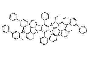 C=C/C(=c1\c(=C/C)n2c3c(-c4ccccc4)c4c5cccc6c7c(N(c8cc(-c9ccccc9)ccc8C)c8cc(-c9ccccc9)ccc8C)cccc7n(c4c(-c4ccccc4)c3c3cccc1c32)c65)N(c1cc(-c2ccccc2)ccc1C)c1cc(-c2ccccc2)ccc1C